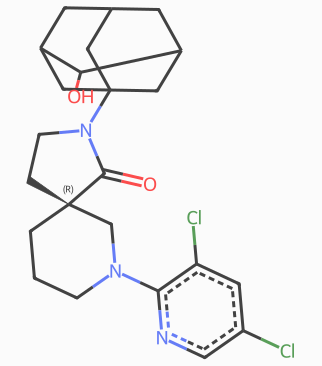 O=C1N(C23CC4CC(C2)C(O)C(C4)C3)CC[C@@]12CCCN(c1ncc(Cl)cc1Cl)C2